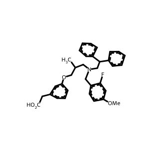 COc1ccc(CN(CC(C)COc2cccc(CC(=O)O)c2)CC(c2ccccc2)c2ccccc2)c(F)c1